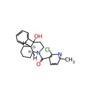 Cc1ccc(C(=O)N2CCC(O)(c3ccccc3)[C@H]3CCCC[C@H]32)c(Cl)n1